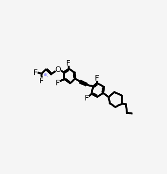 CCCC1CCC(c2cc(F)c(C#Cc3cc(F)c(O/C=C/C(F)F)c(F)c3)c(F)c2)CC1